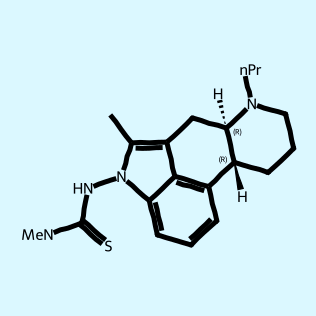 CCCN1CCC[C@@H]2c3cccc4c3c(c(C)n4NC(=S)NC)C[C@H]21